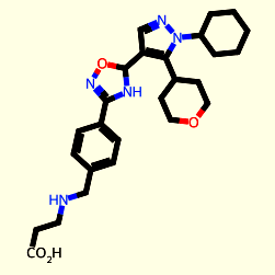 O=C(O)CCNCc1ccc(C2=NOC(c3cnn(C4CCCCC4)c3C3CCOCC3)N2)cc1